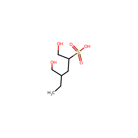 CCC(CO)CC(CO)S(=O)(=O)O